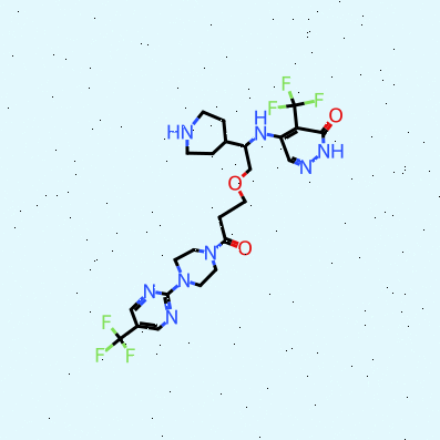 O=C(CCOCC(Nc1cn[nH]c(=O)c1C(F)(F)F)C1CCNCC1)N1CCN(c2ncc(C(F)(F)F)cn2)CC1